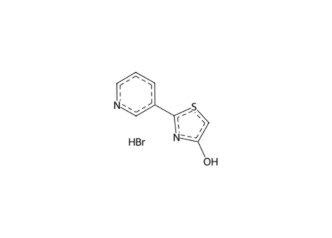 Br.Oc1csc(-c2cccnc2)n1